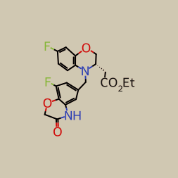 CCOC(=O)C[C@H]1COc2cc(F)ccc2N1Cc1cc(F)c2c(c1)NC(=O)CO2